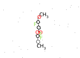 CCOCc1ccc(-c2ccc(C(=O)Oc3ccc(C4CCC(C)CC4)c(F)c3F)cc2)c(F)c1